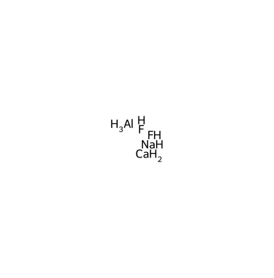 F.F.[AlH3].[CaH2].[NaH]